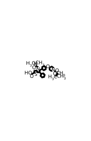 CN(C)C(=O)Cn1c(-c2ccc(OC3CCN(C(=O)OC(C)(C)C)CC3)cc2)c(-c2ccccc2)c2sc(C(=O)O)cc21